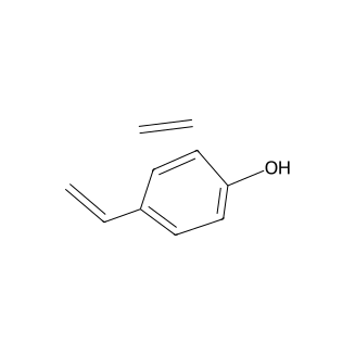 C=C.C=Cc1ccc(O)cc1